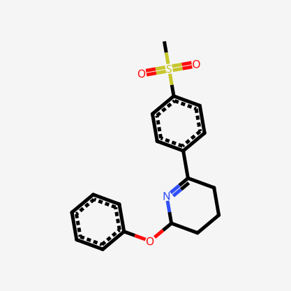 CS(=O)(=O)c1ccc(C2=NC(Oc3ccccc3)CCC2)cc1